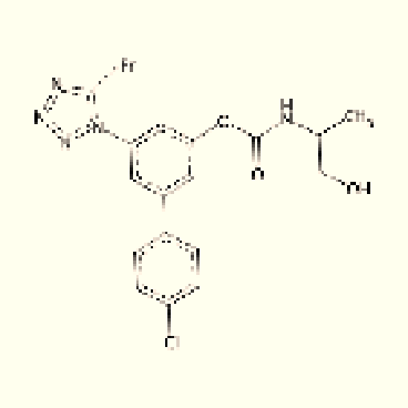 CC(CO)NC(=O)Oc1cc(-c2ccc(Cl)cc2)cc(-n2nnnc2C(C)C)c1